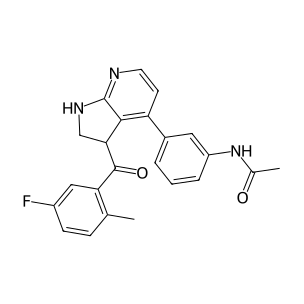 CC(=O)Nc1cccc(-c2ccnc3c2C(C(=O)c2cc(F)ccc2C)CN3)c1